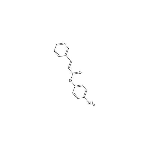 Nc1ccc(OC(=O)C=Cc2ccccc2)cc1